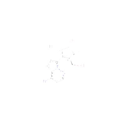 C[C@H]1C(c2ccc3c(N)ccnn23)[C@H](CO)[C@@H](O)[C@H]1O